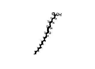 C=CCC=CCC=CCC=CCC=CCCCCCC(=O)O